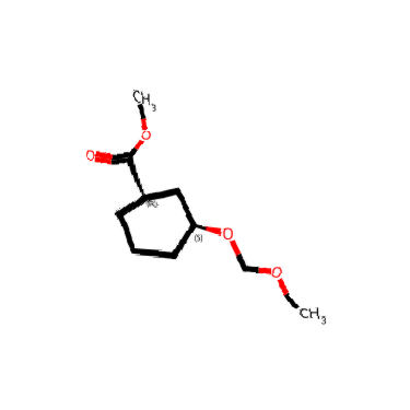 COCO[C@H]1CCC[C@@H](C(=O)OC)C1